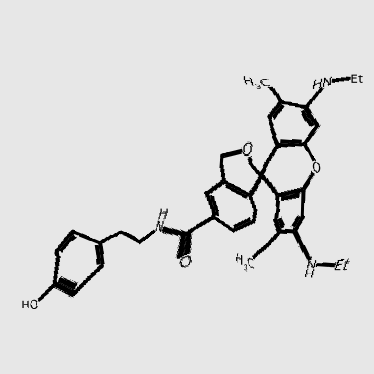 CCNc1cc2c(cc1C)C1(OCc3cc(C(=O)NCCc4ccc(O)cc4)ccc31)c1cc(C)c(NCC)cc1O2